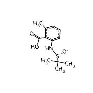 Cc1cccc(N[S@+]([O-])C(C)(C)C)c1C(=O)O